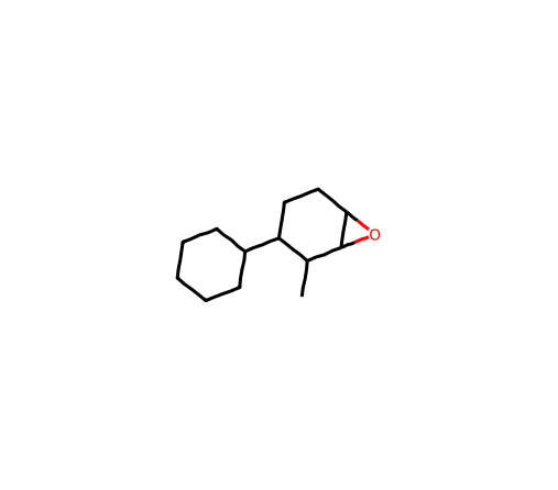 CC1C(C2CCCCC2)CCC2OC21